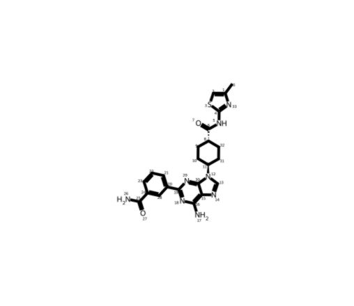 Cc1csc(NC(=O)[C@H]2CC[C@H](n3cnc4c(N)nc(-c5cccc(C(N)=O)c5)nc43)CC2)n1